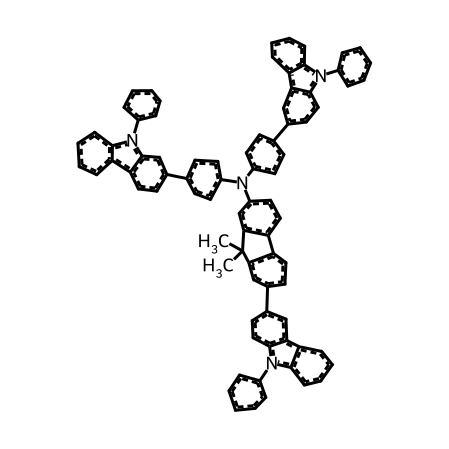 CC1(C)c2cc(-c3ccc4c(c3)c3ccccc3n4-c3ccccc3)ccc2-c2ccc(N(c3ccc(-c4ccc5c(c4)c4ccccc4n5-c4ccccc4)cc3)c3ccc(-c4ccc5c6ccccc6n(-c6ccccc6)c5c4)cc3)cc21